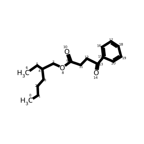 CCCCC(CC)COC(=O)CCC(=O)c1ccccc1